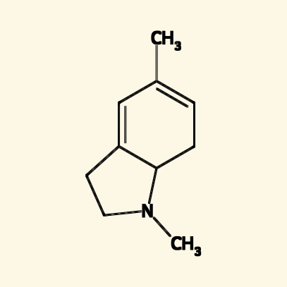 CC1=CCC2C(=C1)CCN2C